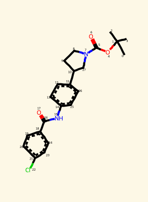 CC(C)(C)OC(=O)N1CCC(c2ccc(NC(=O)c3ccc(Cl)cc3)cc2)C1